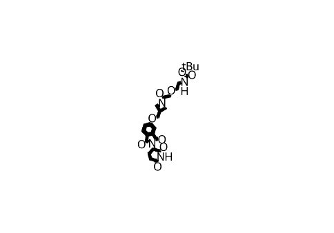 CC(C)(C)OC(=O)NCCOCC(=O)N1CC(COc2ccc3c(c2)C(=O)N(C2CCC(=O)NC2=O)C3=O)C1